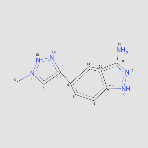 Cn1cc(-c2ccc3[nH]nc(N)c3c2)nn1